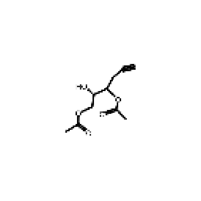 C#CCC(OC(C)=O)[C@H](O)COC(C)=O